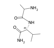 CC(N)C(=O)N[C@@H](C(N)=O)C(C)C